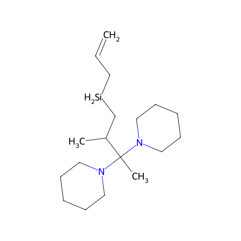 C=CC[SiH2]CC(C)C(C)(N1CCCCC1)N1CCCCC1